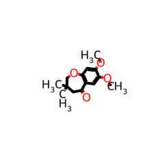 COc1cc2c(cc1OC)C(=O)CC(C)(C)CO2